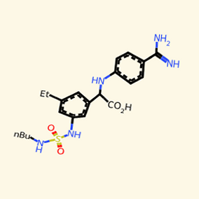 CCCCNS(=O)(=O)Nc1cc(CC)cc(C(Nc2ccc(C(=N)N)cc2)C(=O)O)c1